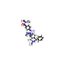 CCN(CC)CC(c1ccccc1)C1CCN(/C(=N\C#N)Nc2ccc(C(=O)N(CC)CC)cc2)CC1